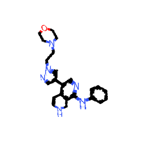 C1=Cc2c(-c3cnn(CCN4CCOCC4)c3)cnc(Nc3ccccc3)c2CN1